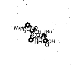 COc1cccc(Cn2c(C)cc(OCc3ccccc3CNC(=O)Nc3cc(C(C)(C)C)nn3-c3ccc(Cl)c(O)c3)c(C)c2=O)c1